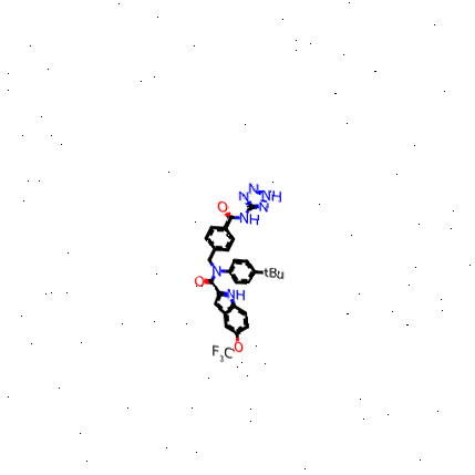 CC(C)(C)c1ccc(N(Cc2ccc(C(=O)Nc3nn[nH]n3)cc2)C(=O)c2cc3cc(OC(F)(F)F)ccc3[nH]2)cc1